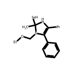 CCOCN1C(c2ccccc2)=C(C(C)C)NC1(C)[SeH]